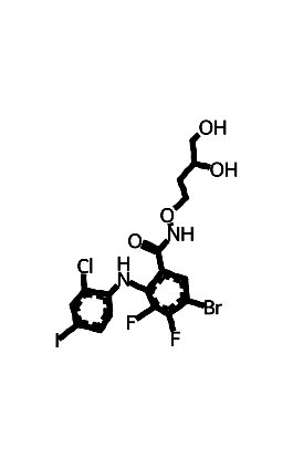 O=C(NOCCC(O)CO)c1cc(Br)c(F)c(F)c1Nc1ccc(I)cc1Cl